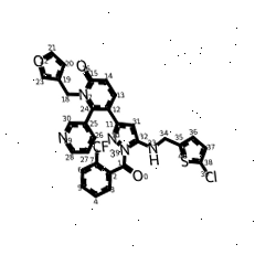 O=C(c1ccccc1C(F)(F)F)n1nc(-c2ccc(=O)n(Cc3ccoc3)c2-c2cccnc2)cc1NCc1ccc(Cl)s1